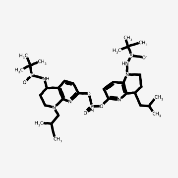 CC(C)CC1CCN(N[S+]([O-])C(C)(C)C)c2ccc(O[PH](=O)Oc3ccc4c(n3)N(CC(C)C)CCC4N[S+]([O-])C(C)(C)C)nc21